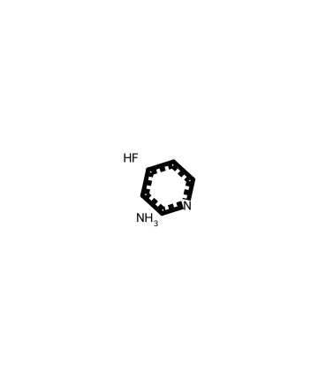 F.N.c1ccncc1